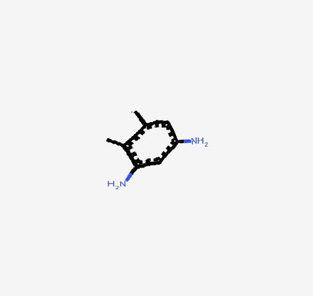 [CH2]c1cc(N)cc(N)c1C